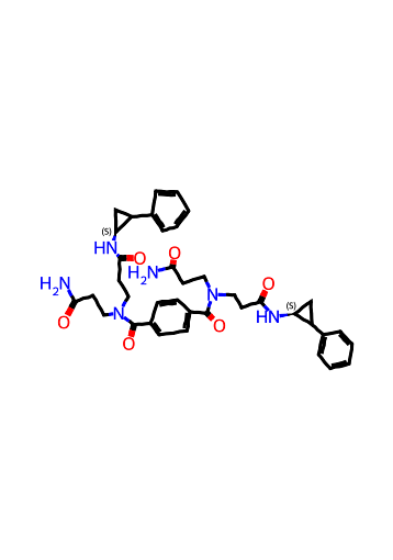 NC(=O)CCN(CCC(=O)N[C@H]1CC1c1ccccc1)C(=O)c1ccc(C(=O)N(CCC(N)=O)CCC(=O)N[C@H]2CC2c2ccccc2)cc1